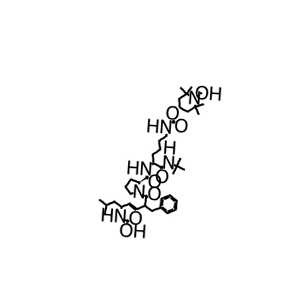 CC(C)CC(/C=C/C(Cc1ccccc1)C(=O)N1CCC[C@H]1C(=O)NC(CCCCNC(=O)OC1CC(C)(C)N(O)C(C)(C)C1)C(=O)NC(C)(C)C)NC(=O)O